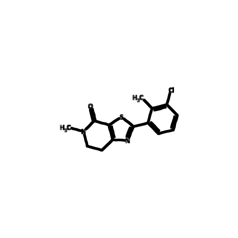 Cc1c(Cl)cccc1-c1nc2c(s1)C(=O)N(C)CC2